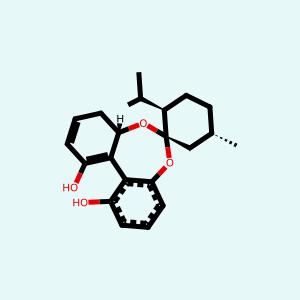 CC(C)[C@H]1CC[C@H](C)C[C@]12Oc1cccc(O)c1C1=C(O)C=CC[C@@H]1O2